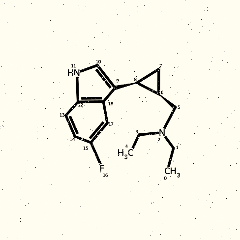 CCN(CC)C[C@@H]1C[C@@H]1c1c[nH]c2ccc(F)cc12